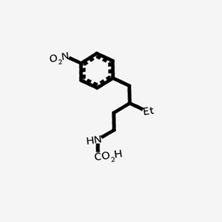 CCC(CCNC(=O)O)Cc1ccc([N+](=O)[O-])cc1